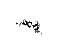 C[C@H]1CC2(CCN(c3nc(N)cnc3C#N)CC2)CO1